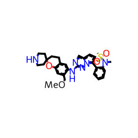 COCc1cc2c(cc1Nc1ncc3ccc(-c4ccccc4N(C)S(C)(=O)=O)n3n1)CCC1(CCNCC1)O2